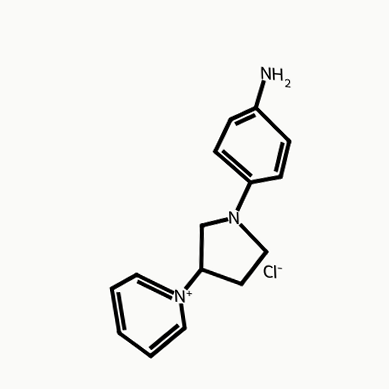 Nc1ccc(N2CCC([n+]3ccccc3)C2)cc1.[Cl-]